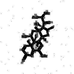 CC(=O)OC1=C[C@H]2[C@@H]3C[C@H](C)[C@](O)(C(=O)C(OC(C)=O)OC(C)=O)[C@@]3(C)C[C@H](O)[C@]2(Cl)[C@@]2(C)C=CC(=O)C=C12